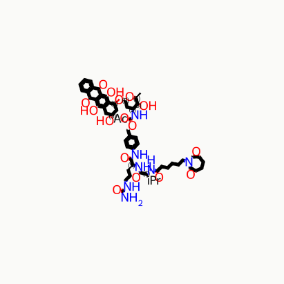 CC(=O)[C@]1(O)Cc2c(O)c3c(c(O)c2[C@@H](O[C@H]2C[C@H](NC(=O)OCc4ccc(NC(=O)[C@H](CCCNC(N)=O)NC(=O)[C@@H](NC(=O)CCCCCN5C6OC6CCC6OC65)C(C)C)cc4)[C@H](O)[C@H](C)O2)C1)C(=O)c1ccccc1C3=O